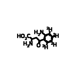 [2H]c1c([2H])c([2H])c(C(=O)CC(N)C(=O)O)c(N)c1[2H]